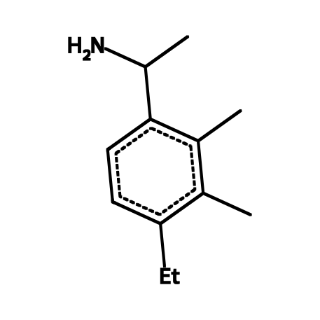 CCc1ccc(C(C)N)c(C)c1C